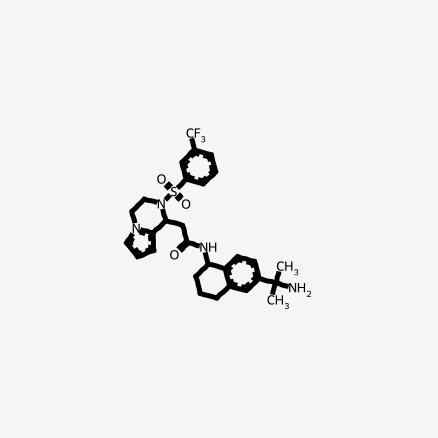 CC(C)(N)c1ccc2c(c1)CCCC2NC(=O)CC1c2cccn2CCN1S(=O)(=O)c1cccc(C(F)(F)F)c1